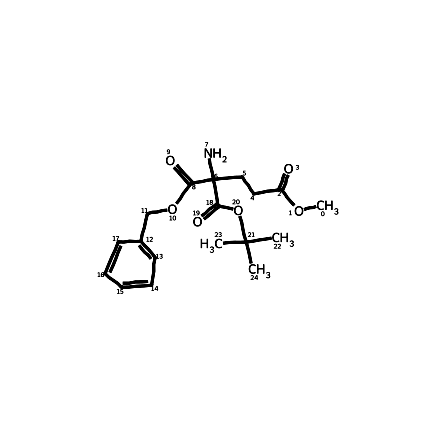 COC(=O)CCC(N)(C(=O)OCc1ccccc1)C(=O)OC(C)(C)C